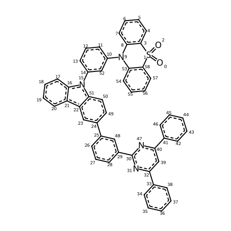 O=S1(=O)c2ccccc2N(c2cccc(-n3c4ccccc4c4cc(-c5cccc(-c6nc(-c7ccccc7)cc(-c7ccccc7)n6)c5)ccc43)c2)c2ccccc21